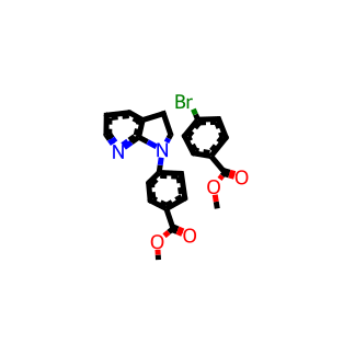 COC(=O)c1ccc(Br)cc1.COC(=O)c1ccc(N2CCc3cccnc32)cc1